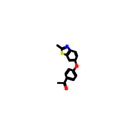 CC(=O)c1ccc(Oc2ccc3nc(C)sc3c2)cc1